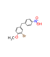 COc1ccc(Cc2ccc([N+](=O)O)cc2)cc1Br